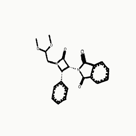 COC(CN1C(=O)[C@H](N2C(=O)c3ccccc3C2=O)[C@@H]1c1ccccc1)OC